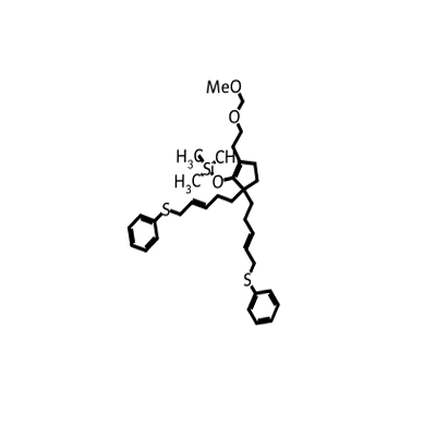 COCOCCC1=C(O[Si](C)(C)C)C(CC/C=C/CSc2ccccc2)(CC/C=C/CSc2ccccc2)CC1